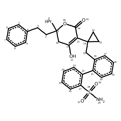 CCCC1(CCc2ccccc2)CC(O)=C(C2(Cc3ccccc3-c3ccccc3S(N)(=O)=O)CC2)C(=O)O1